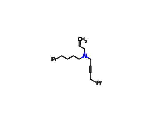 C=CCN(CC#CCC(C)C)CCCCC(C)C